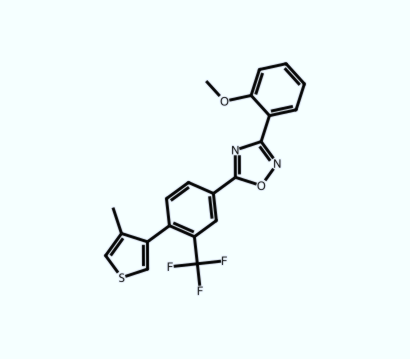 COc1ccccc1-c1noc(-c2ccc(-c3cscc3C)c(C(F)(F)F)c2)n1